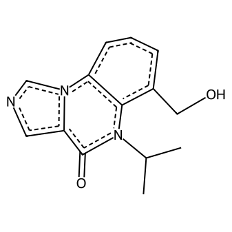 CC(C)n1c(=O)c2cncn2c2cccc(CO)c21